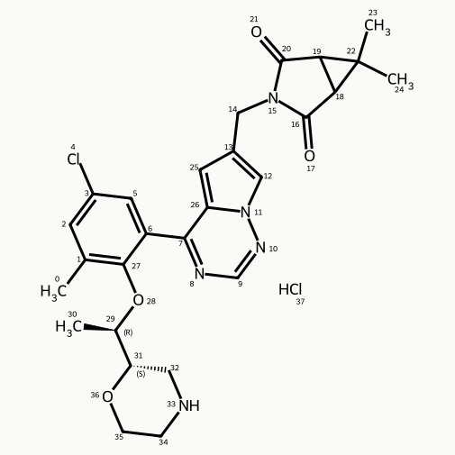 Cc1cc(Cl)cc(-c2ncnn3cc(CN4C(=O)C5C(C4=O)C5(C)C)cc23)c1O[C@H](C)[C@@H]1CNCCO1.Cl